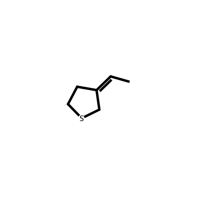 C/C=C1/CCSC1